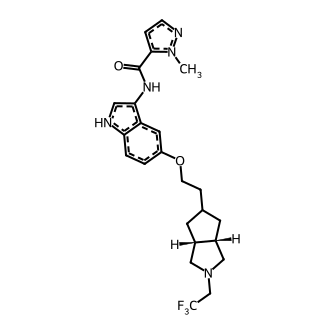 Cn1nccc1C(=O)Nc1c[nH]c2ccc(OCCC3C[C@@H]4CN(CC(F)(F)F)C[C@@H]4C3)cc12